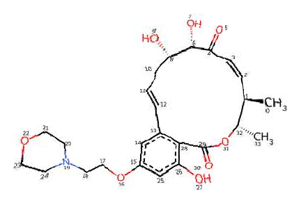 C[C@@H]1/C=C\C(=O)[C@@H](O)[C@@H](O)C/C=C/c2cc(OCCN3CCOCC3)cc(O)c2C(=O)O[C@H]1C